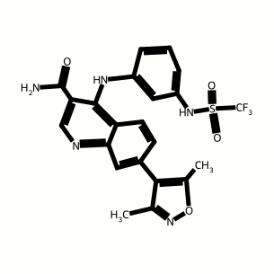 Cc1noc(C)c1-c1ccc2c(Nc3cccc(NS(=O)(=O)C(F)(F)F)c3)c(C(N)=O)cnc2c1